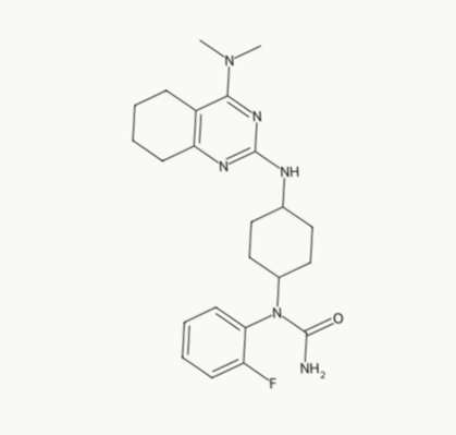 CN(C)c1nc(NC2CCC(N(C(N)=O)c3ccccc3F)CC2)nc2c1CCCC2